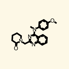 COc1ccc(N(C)c2nc(CN3CCCCC3=O)nc3ccccc23)cc1